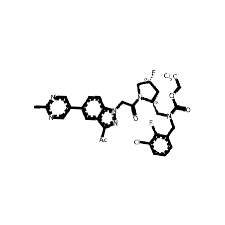 CC(=O)c1nn(CC(=O)N2C[C@H](F)C[C@H]2CN(Cc2cccc(Cl)c2F)C(=O)OCC(Cl)(Cl)Cl)c2ccc(-c3cnc(C)nc3)cc12